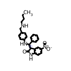 CCCCNCc1ccc(N/C(=C2\C(=O)Nc3ccc([N+](=O)[O-])cc32)c2ccccc2)cc1